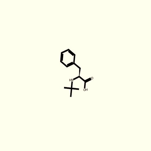 CC(C)(C)N[C@@H](Cc1ccccc1)C(=O)O